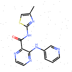 Cc1csc(NC(=O)c2nccnc2Nc2cccnc2)n1